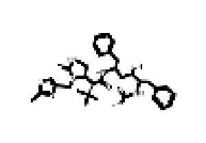 Cc1nc(CN2C(=O)NCC2[C@@H](C(=O)NC(Cc2ccccc2)CC(O)C(Cc2ccccc2)NC(=O)O)C(C)(C)C)cs1